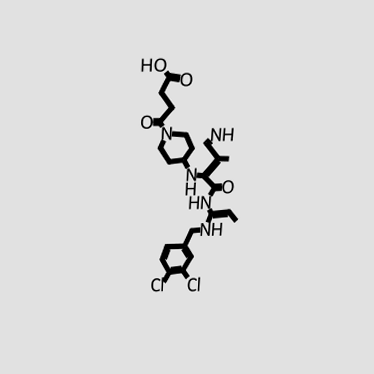 C/C=C(\NCc1ccc(Cl)c(Cl)c1)NC(=O)/C(NC1CCN(C(=O)CCC(=O)O)CC1)=C(\C)C=N